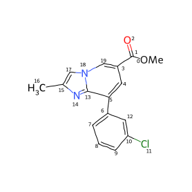 COC(=O)c1cc(-c2cccc(Cl)c2)c2nc(C)cn2c1